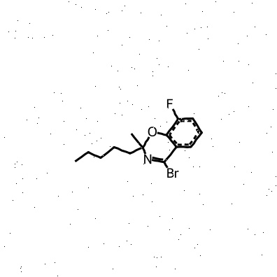 CCCCCC1(C)N=C(Br)c2cccc(F)c2O1